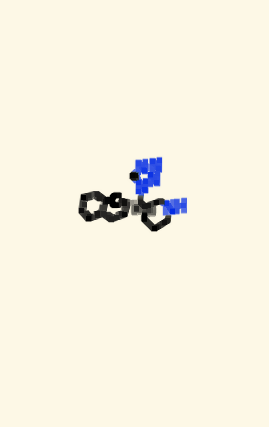 c1ccc2cc([C@@H]([C@@H]3CCCNC3)n3cnnn3)ccc2c1